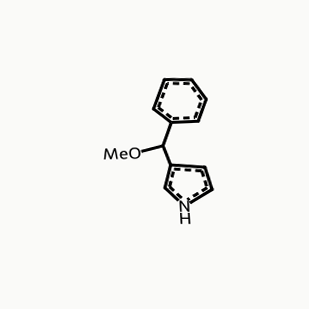 COC(c1ccccc1)c1cc[nH]c1